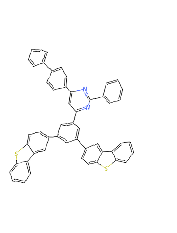 c1ccc(-c2ccc(-c3cc(-c4cc(-c5ccc6sc7ccccc7c6c5)cc(-c5ccc6sc7ccccc7c6c5)c4)nc(-c4ccccc4)n3)cc2)cc1